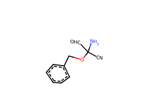 N#CC(N)(C=O)OCc1ccccc1